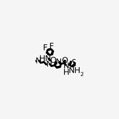 CN(C)CCCN(Cc1ccc(C(=O)Nc2cscc2N)nc1)C(=O)Nc1ccc(F)c(F)c1